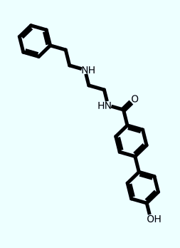 O=C(NCCNCCc1ccccc1)c1ccc(-c2ccc(O)cc2)cc1